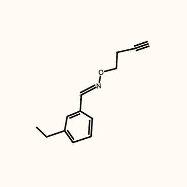 C#CCCON=[C]c1cccc(CC)c1